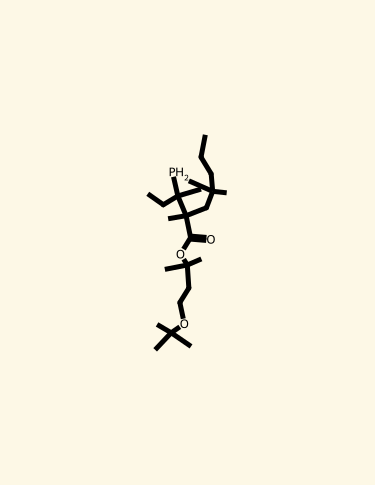 CCCC(C)(C)CC(C)(C(=O)OC(C)(C)CCOC(C)(C)C)C(C)(P)CC